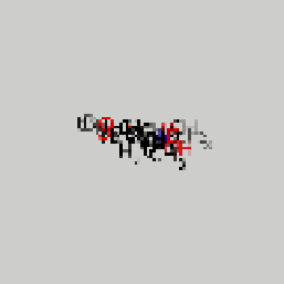 C=C(C)OC(=O)N(CCO)C[C@]12CC[C@@H](C(=C)C)[C@@H]1[C@H]1CC[C@@H]3[C@@]4(C)CC=C(c5ccc(C(=O)OC(C)(C)C)cc5)C(C)(C)[C@@H]4CC[C@@]3(C)[C@]1(C)CC2